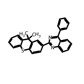 CC1(C)c2ccccc2Sc2ccc(-c3nc(-c4ccccc4)c4ccccc4n3)cc21